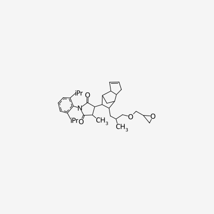 CC(COCC1CO1)CC1C2CC(C3C=CCC32)C1C1C(=O)N(c2c(C(C)C)cccc2C(C)C)C(=O)C1C